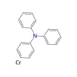 [Cr].c1ccc(N(c2ccccc2)c2ccccc2)cc1